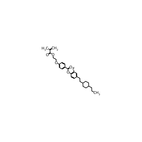 C=C(C)C(=O)OCCOc1ccc(C(=O)Oc2ccc(CCC3CCC(CCC)CC3)cc2F)cc1